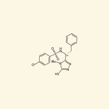 CCC(C)n1c(S)nnc1[C@@H](Cc1ccccc1)NS(=O)(=O)c1ccc(Cl)cc1